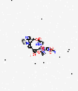 CCn1c(-c2cccnc2C(C)C)c2c3cc(ccc31)-c1cc(O)cc(c1)C[C@H](NC(=O)[C@H](C(C)C)N(C)C(=O)[C@H]1CCN(S(=O)(=O)[C@@H]3CN3C)C1)C(=O)N1CCC[C@H](N1)C(=O)OCC(C)(C)C2